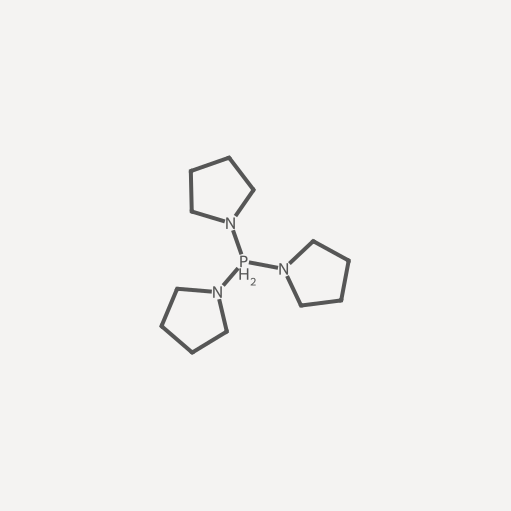 C1CCN([PH2](N2CCCC2)N2CCCC2)C1